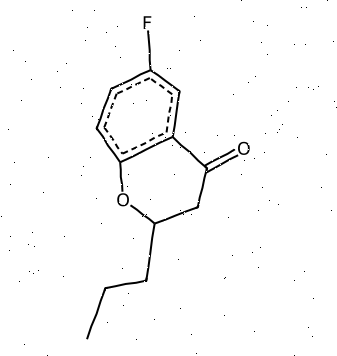 CCCC1CC(=O)c2cc(F)ccc2O1